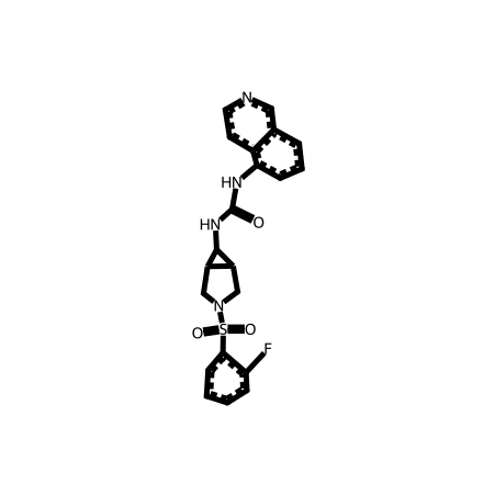 O=C(Nc1cccc2cnccc12)NC1C2CN(S(=O)(=O)c3ccccc3F)CC21